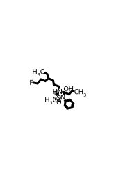 CCCC(O)(NCCCC(CC)CCCF)N(c1ccccc1)S(C)(=O)=O